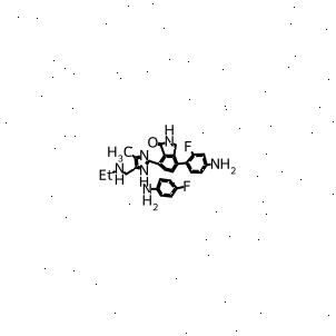 CCNCc1[nH]c(-c2ccc(-c3ccc(N)cc3F)c3c2C(=O)NC3)nc1C.Nc1ccc(F)cc1